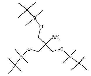 CC(C)(C)[Si](C)(C)OCC(N)(CO[Si](C)(C)C(C)(C)C)CO[Si](C)(C)C(C)(C)C